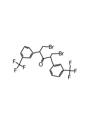 O=C(C(CBr)c1cccc(C(F)(F)F)c1)C(CBr)c1cccc(C(F)(F)F)c1